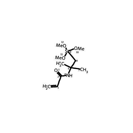 C=CC(=O)NC(C)(C)C[Si](OC)(OC)OC